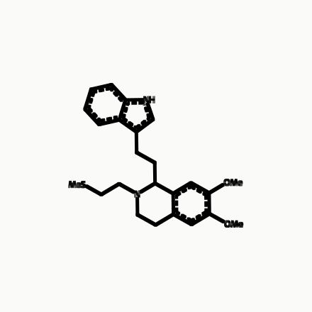 COc1cc2c(cc1OC)C(CCc1c[nH]c3ccccc13)N(CCSC)CC2